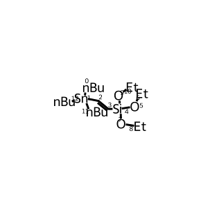 CCC[CH2][Sn](/[CH]=C/[Si](OCC)(OCC)OCC)([CH2]CCC)[CH2]CCC